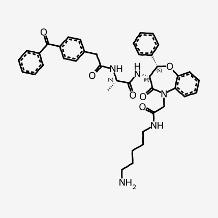 C[C@H](NC(=O)Cc1ccc(C(=O)c2ccccc2)cc1)C(=O)N[C@H]1C(=O)N(CC(=O)NCCCCCN)c2ccccc2O[C@H]1c1ccccc1